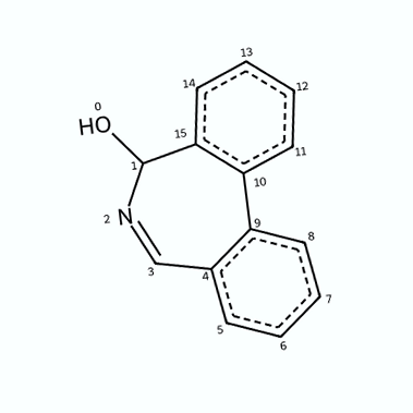 OC1N=Cc2ccccc2-c2ccccc21